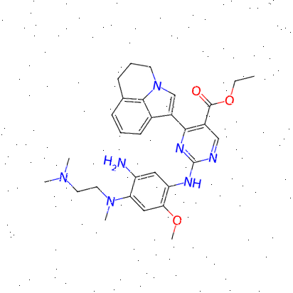 CCOC(=O)c1cnc(Nc2cc(N)c(N(C)CCN(C)C)cc2OC)nc1-c1cn2c3c(cccc13)CCC2